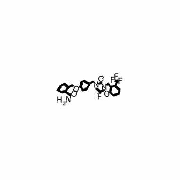 NC(=O)c1ccccc1COc1ccc(Cn2cc(F)c(=O)n(Cc3ccccc3C(F)(F)F)c2=O)cc1